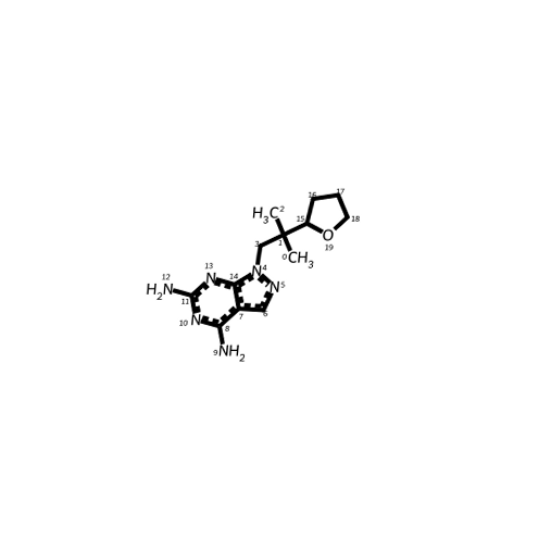 CC(C)(Cn1ncc2c(N)nc(N)nc21)C1CCCO1